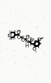 COc1ccc(OC)c(CC(Br)NC(=O)OCOC(=O)C2CCOCC2)c1